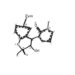 Cn1cccc(C2c3cc(C=O)ccc3OC(C)(C)C2O)c1=O